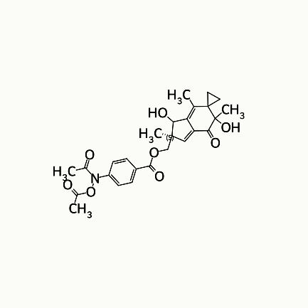 CC(=O)ON(C(C)=O)c1ccc(C(=O)OC[C@]2(C)C=C3C(=O)C(C)(O)C4(CC4)C(C)=C3C2O)cc1